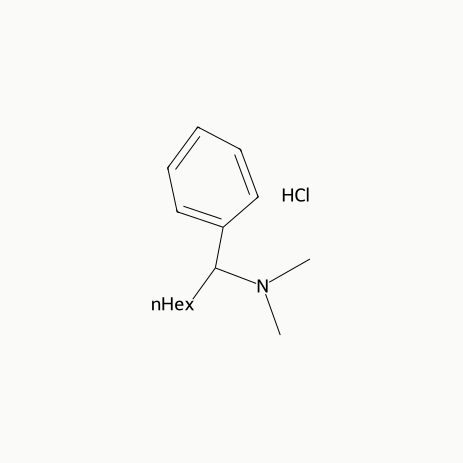 CCCCCCC(c1ccccc1)N(C)C.Cl